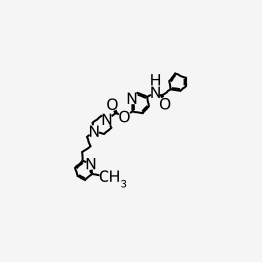 Cc1cccc(CCCN2CCN(C(=O)Oc3ccc(NC(=O)c4ccccc4)cn3)CC2)n1